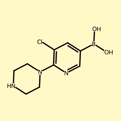 OB(O)c1cnc(N2CCNCC2)c(Cl)c1